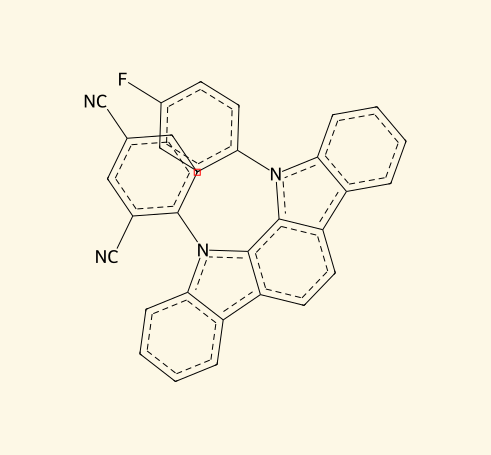 N#Cc1ccc(-n2c3ccccc3c3ccc4c5ccccc5n(-c5ccc(F)cc5)c4c32)c(C#N)c1